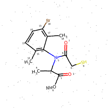 COC(=O)C(C)N(C(=O)CS)c1c(C)ccc(Br)c1C